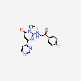 Cn1c(NCC(=O)c2ccc(F)cc2)nc(-c2ccncn2)cc1=O